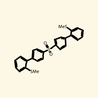 CSc1ccccc1-c1ccc(S(=O)(=O)c2ccc(-c3ccccc3SC)cc2)cc1